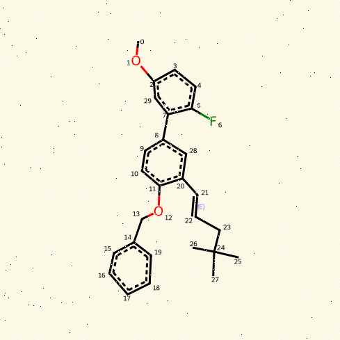 COc1ccc(F)c(-c2ccc(OCc3ccccc3)c(/C=C/CC(C)(C)C)c2)c1